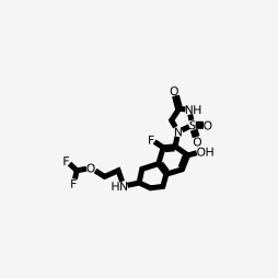 O=C1CN(c2c(O)cc3c(c2F)CC(NCCOC(F)F)CC3)S(=O)(=O)N1